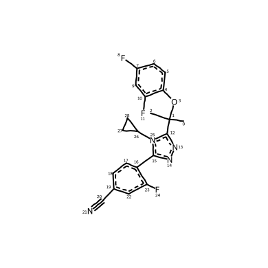 CC(C)(Oc1ccc(F)cc1F)c1nnc(-c2ccc(C#N)cc2F)n1C1CC1